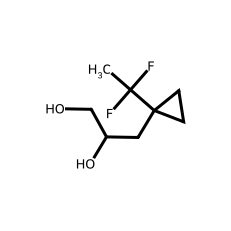 CC(F)(F)C1(CC(O)CO)CC1